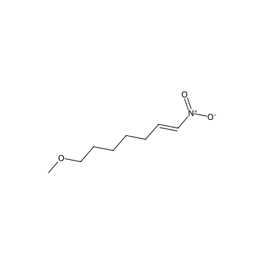 COCCCCCC=C[N+](=O)[O-]